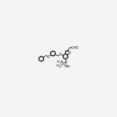 CC(C)(C)[Si](C)(C)Oc1cc(OCc2cccc(OCc3ccccc3)c2)c2cc(CC=O)oc2c1